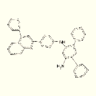 Nc1cc(Nc2ccc(-c3cc(-c4ccccc4)c4ccccc4n3)cc2)c(-c2ccccc2)cc1-c1ccccc1